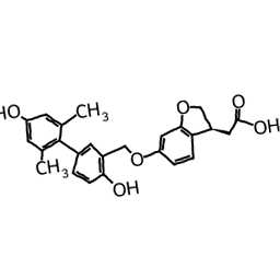 Cc1cc(O)cc(C)c1-c1ccc(O)c(COc2ccc3c(c2)OC[C@H]3CC(=O)O)c1